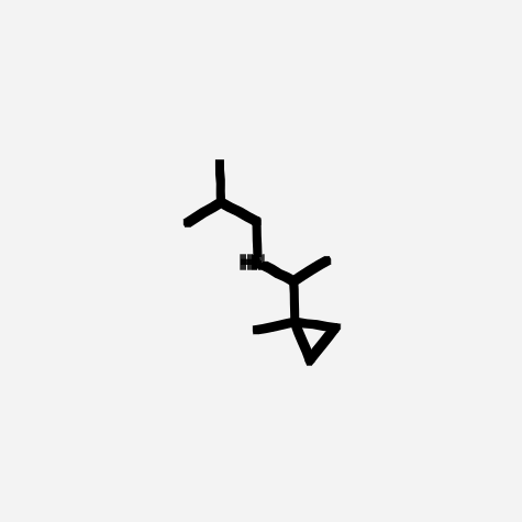 CC(C)CNC(C)C1(C)CC1